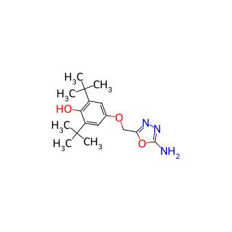 CC(C)(C)c1cc(OCc2nnc(N)o2)cc(C(C)(C)C)c1O